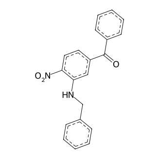 O=C(c1ccccc1)c1ccc([N+](=O)[O-])c(NCc2ccccc2)c1